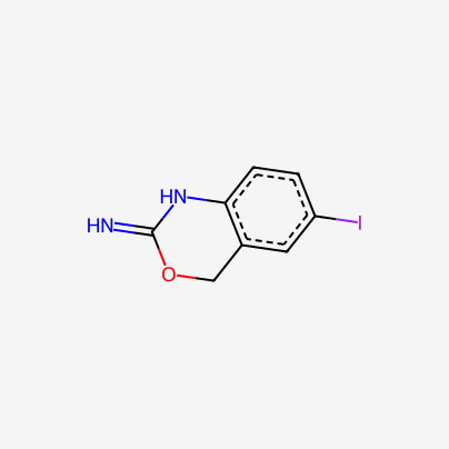 N=C1Nc2ccc(I)cc2CO1